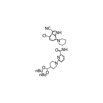 CCCCOC(OCCCC)C1CCN(c2cccc(C(=O)N[C@H]3CCCN(c4ccc(Cl)c5c(C#N)c[nH]c45)C3)n2)CC1